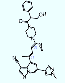 C=N/C(=C\C=C(/C)c1cc(-c2cnn(C)c2)cn2ncc(C#N)c12)N1CCN(C(=O)C(CO)c2ccccc2)CC1